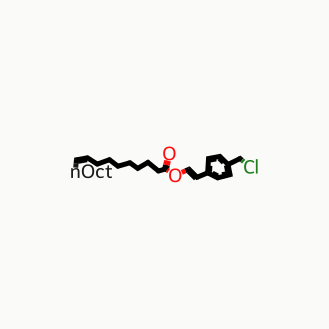 CCCCCCCC/C=C\CCCCCCCC(=O)OC=Cc1ccc(CCl)cc1